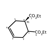 CCOC(=O)C1CC=CC[C@H]1C(=O)OCC